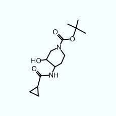 CC(C)(C)OC(=O)N1CCC(NC(=O)C2CC2)C(O)C1